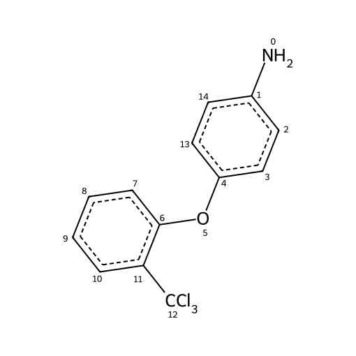 Nc1ccc(Oc2ccccc2C(Cl)(Cl)Cl)cc1